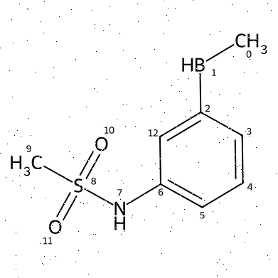 CBc1cccc(NS(C)(=O)=O)c1